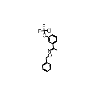 C/C(=N\OCc1ccccc1)c1cccc(OC(F)(F)Cl)c1